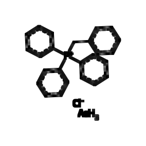 [AsH3].[Cl-].c1ccc(C[P+](c2ccccc2)(c2ccccc2)c2ccccc2)cc1